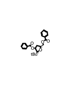 CC(C)(C)[C@@H]1O[C@H](COC(=O)c2ccccc2)C[C@H]1OC(=O)c1ccccc1